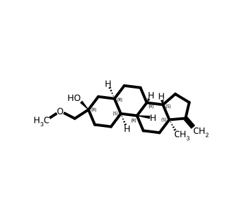 C=C1CC[C@H]2[C@@H]3CC[C@@H]4C[C@@](O)(COC)CC[C@@H]4[C@H]3CC[C@]12C